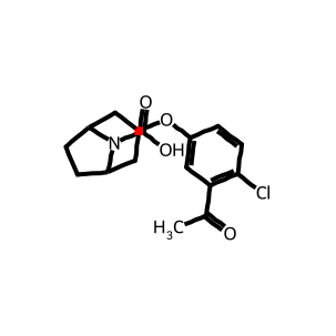 CC(=O)c1cc(OC2CC3CCC(C2)N3C(=O)O)ccc1Cl